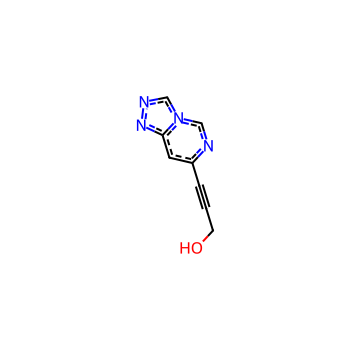 OCC#Cc1cc2nncn2cn1